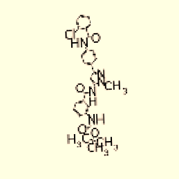 Cn1nc(-c2ccc(NC(=O)c3ccccc3Cl)cc2)cc1NC(=O)c1cccc(NC(=O)OC(C)(C)C)c1